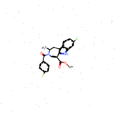 CCCOC(=O)C1=CN(C(=O)c2ccc(F)cc2)C(C)Cc2c1[nH]c1cc(F)ccc21